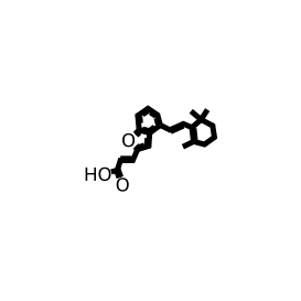 CC1=C(C=Cc2cccc3oc(/C=C/C(=O)O)cc23)C(C)(C)CCC1